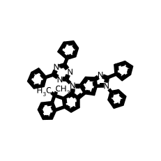 CC1(C)c2ccccc2-c2ccc3c4cc5c(cc4n(-c4nc(-c6ccccc6)nc(-c6ccccc6)n4)c3c21)nc(-c1ccccc1)n5-c1ccccc1